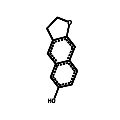 Oc1ccc2cc3c(cc2c1)CCO3